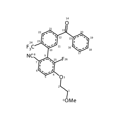 COCCOc1ccc(C#N)c(-c2cc(C(=O)c3ccccc3)ccc2C(F)(F)F)c1F